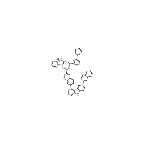 CC1=C(c2ccccc2)N=C(c2ccc3cc(-c4cccc5oc6ccc(-c7ccc8ccccc8c7)cc6c45)ccc3c2)N=C(c2cccc(-c3ccccc3)c2)C1